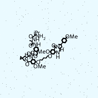 COc1ccc(C2=CN3C(=O)c4cc(OC)c(OCCCCCOc5cc6c(cc5OC)C(=O)N5CC7(CC7)C[C@H]5C(O)N6C(=O)OCc5ccc(NC(=O)C(C)NC(=O)C(N)C(C)C)cc5)cc4NC[C@@H]3C2)cc1